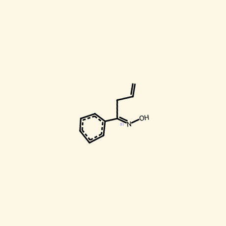 C=CC/C(=N\O)c1ccccc1